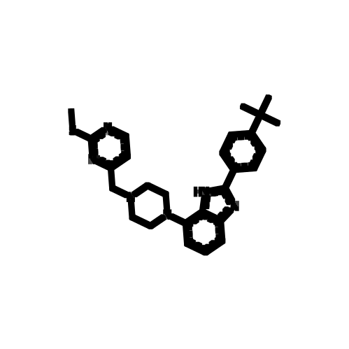 CSc1nccc(CN2CCN(c3cccc4nc(-c5ccc(C(C)(C)C)cc5)[nH]c34)CC2)n1